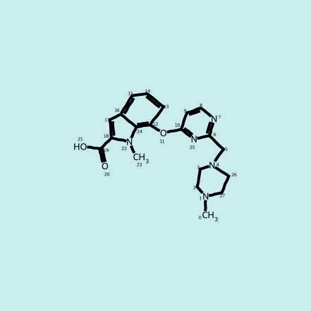 CN1CCN(Cc2nccc(Oc3cccc4cc(C(=O)O)n(C)c34)n2)CC1